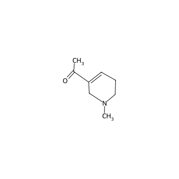 CC(=O)C1=CCCN(C)C1